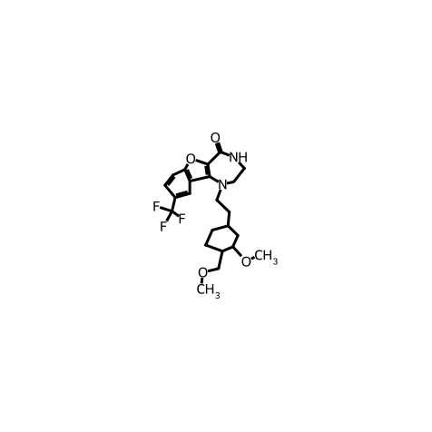 COCC1CCC(CCN2CCNC(=O)c3oc4ccc(C(F)(F)F)cc4c32)CC1OC